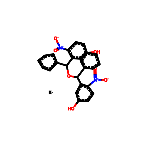 O=[N+]([O-])c1ccc(O)cc1C(OC(c1ccccc1)c1cc(O)ccc1[N+](=O)[O-])c1ccccc1.[K]